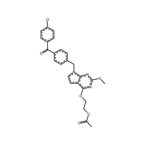 CSc1nc(OCCOC(C)=O)c2ccn(Cc3ccc(C(=O)c4ccc(Cl)cc4)cc3)c2n1